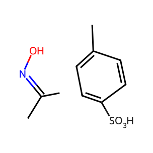 CC(C)=NO.Cc1ccc(S(=O)(=O)O)cc1